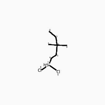 CCC(C)(C)CC[SiH](Cl)Cl